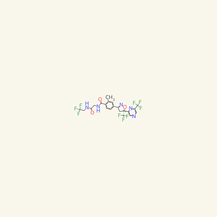 Cc1cc(C2=NO[C@](c3cncc(C(F)(F)F)n3)(C(F)(F)F)C2)ccc1C(=O)NCC(=O)NCC(F)(F)F